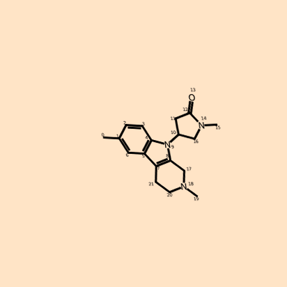 Cc1ccc2c(c1)c1c(n2C2CC(=O)N(C)C2)CN(C)CC1